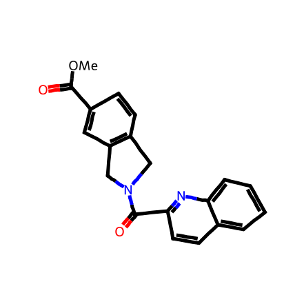 COC(=O)c1ccc2c(c1)CN(C(=O)c1ccc3ccccc3n1)C2